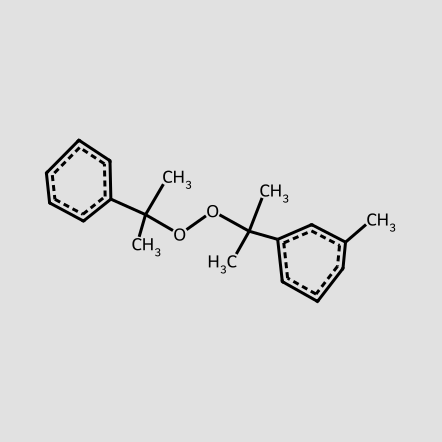 Cc1cccc(C(C)(C)OOC(C)(C)c2ccccc2)c1